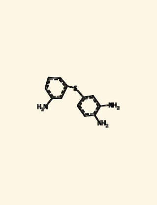 Nc1cccc(Sc2ccc(N)c(N)c2)c1